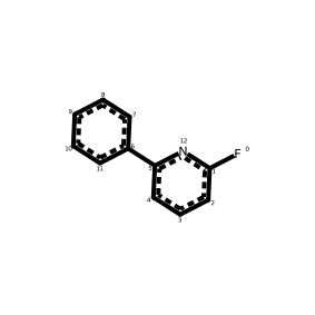 Fc1cccc(-c2c[c]ccc2)n1